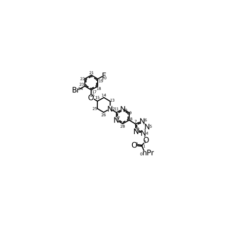 CCCC(=O)On1nnc(-c2cnc(N3CCC(Oc4cc(F)ccc4Br)CC3)nc2)n1